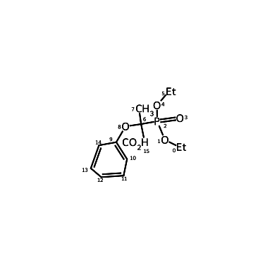 CCOP(=O)(OCC)C(C)(Oc1ccccc1)C(=O)O